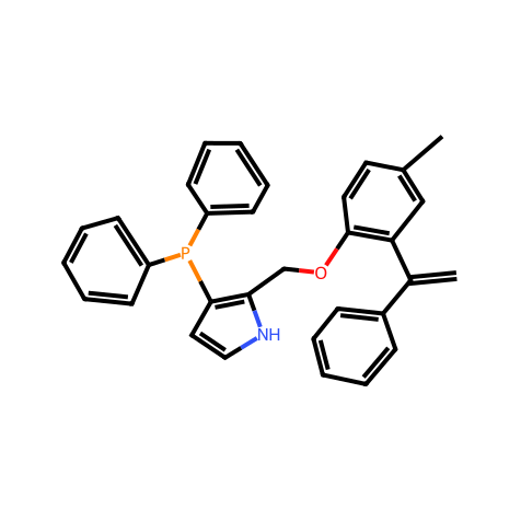 C=C(c1ccccc1)c1cc(C)ccc1OCc1[nH]ccc1P(c1ccccc1)c1ccccc1